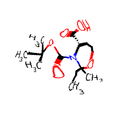 CCC1(C)OC[C@@H](C(=O)O)N1C(=O)OC(C)(C)C